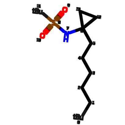 CC(C)(C)CCCCCC1(NS(=O)(=O)C(C)(C)C)CC1